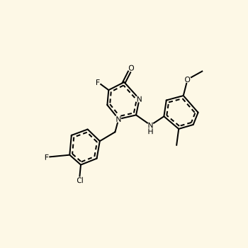 COc1ccc(C)c(Nc2nc(=O)c(F)cn2Cc2ccc(F)c(Cl)c2)c1